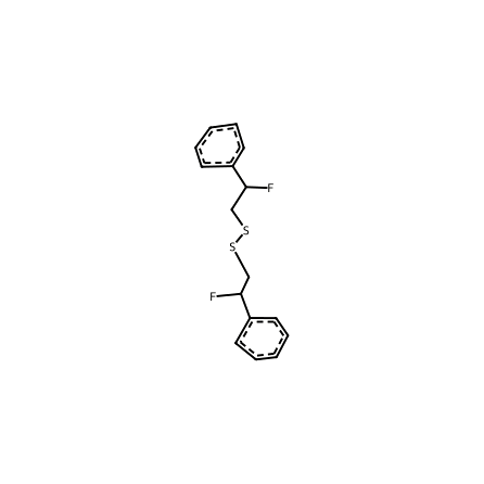 FC(CSSCC(F)c1ccccc1)c1ccccc1